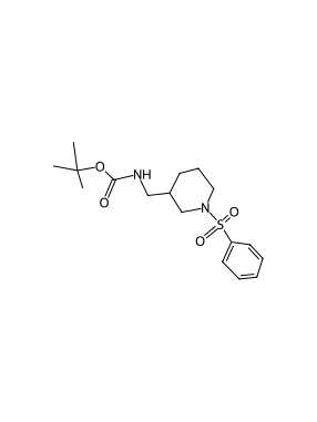 CC(C)(C)OC(=O)NCC1CCCN(S(=O)(=O)c2ccccc2)C1